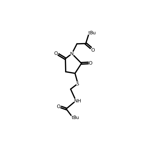 CC(C)(C)C(=O)CN1C(=O)CC(SCNC(=O)C(C)(C)C)C1=O